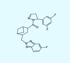 O=C(C1CC(Cn2nc3ccc(F)cc3n2)C2CC1C2)N1N=CCC1c1cc(F)cc(F)c1